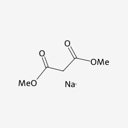 COC(=O)CC(=O)OC.[Na]